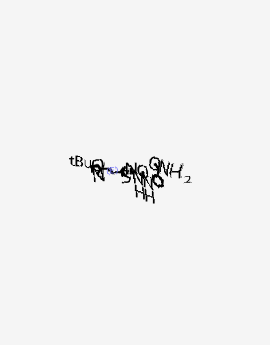 CC(C)(C)c1cnc(/C=C/c2cnc(NC(=O)Nc3cccc(C(N)=O)c3)s2)o1